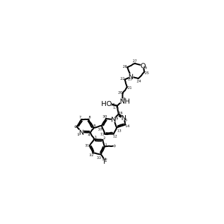 Cc1cc(-c2ncccc2-c2ccc3cnc(C(O)NCCCN4CCOCC4)n3c2)ccc1F